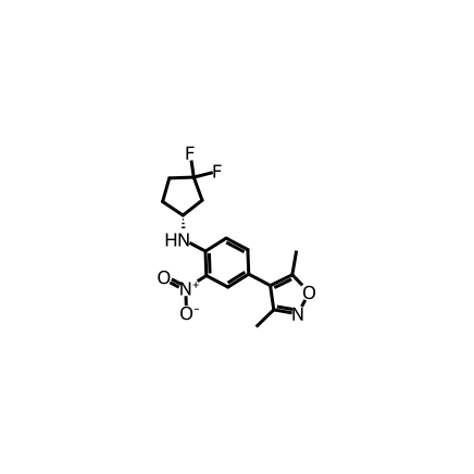 Cc1noc(C)c1-c1ccc(N[C@@H]2CCC(F)(F)C2)c([N+](=O)[O-])c1